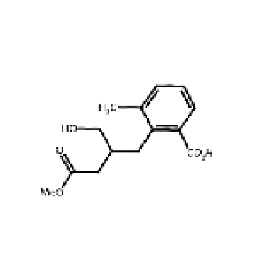 COC(=O)CC(CO)Cc1c(C)cccc1C(=O)O